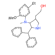 CCc1ccc(OC)c(N(C)C2C(CCO)CNC2C(c2ccccc2)c2ccccc2)c1